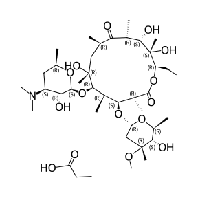 CCC(=O)O.CC[C@H]1OC(=O)[C@H](C)[C@@H](O[C@H]2C[C@@](C)(OC)[C@@H](O)[C@H](C)O2)[C@@H](C)[C@@H](O[C@@H]2O[C@H](C)C[C@H](N(C)C)[C@H]2O)[C@](C)(O)C[C@@H](C)C(=O)[C@H](C)[C@H](O)[C@]1(C)O